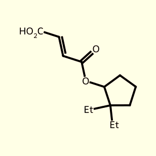 CCC1(CC)CCCC1OC(=O)C=CC(=O)O